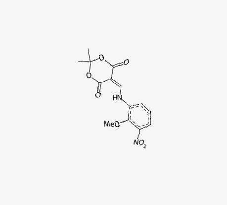 COc1c(NC=C2C(=O)OC(C)(C)OC2=O)cccc1[N+](=O)[O-]